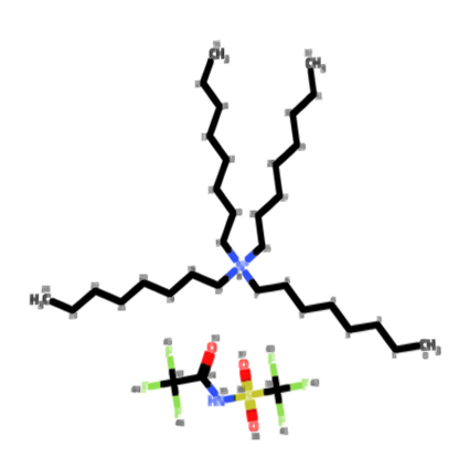 CCCCCCCC[N+](CCCCCCCC)(CCCCCCCC)CCCCCCCC.O=C(NS(=O)(=O)C(F)(F)F)C(F)(F)F